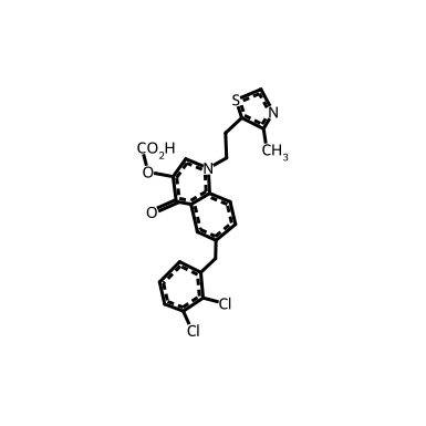 Cc1ncsc1CCn1cc(OC(=O)O)c(=O)c2cc(Cc3cccc(Cl)c3Cl)ccc21